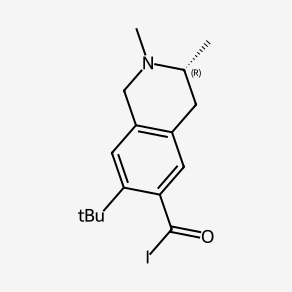 C[C@@H]1Cc2cc(C(=O)I)c(C(C)(C)C)cc2CN1C